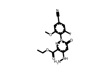 CCOC(=O)c1nn(-c2c(F)cc(C#N)cc2OC)c(=O)cc1NN